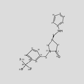 O=C1C[C@H](CNc2ccccc2)CN1Cc1cccc(C(F)(F)F)c1